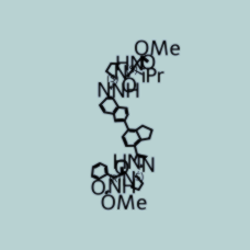 COC(=O)N[C@H](C(=O)N1CCC[C@H]1c1nc2ccc3cc(-c4ccc(-c5cnc([C@@H]6CCCN6C(=O)[C@H](NC(=O)OC)c6ccccc6)[nH]5)c5c4CCC5)ccc3c2[nH]1)C(C)C